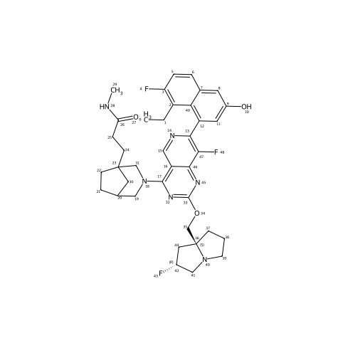 CCc1c(F)ccc2cc(O)cc(-c3ncc4c(N5CC6CCC(CCC(=O)NC)(C6)C5)nc(OC[C@@]56CCCN5C[C@H](F)C6)nc4c3F)c12